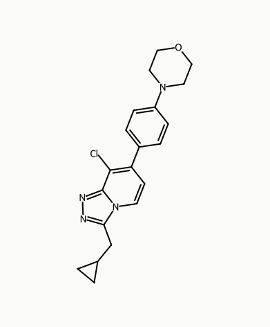 Clc1c(-c2ccc(N3CCOCC3)cc2)ccn2c(CC3CC3)nnc12